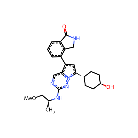 COC[C@H](C)Nc1ncc2c(-c3cccc4c3CNC4=O)cc([C@H]3CC[C@H](O)CC3)n2n1